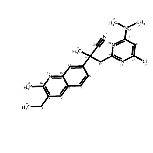 CCc1cc2ccc(C(C)(C#N)Cc3nc(Cl)cc(N(C)C)n3)cc2nc1P